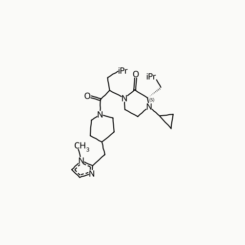 CC(C)CC(C(=O)N1CCC(Cc2nccn2C)CC1)N1CCN(C2CC2)[C@@H](CC(C)C)C1=O